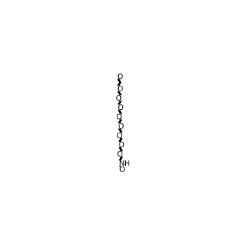 O=CCCOCCOCCOCCOCCOCCOCCOCCOCCNC=O